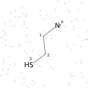 [N]CCS